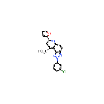 O=C(O)c1cc(-c2ccco2)nc2ccc3nn(-c4cccc(Cl)c4)nc3c12